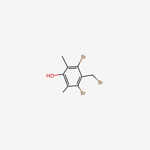 Cc1c(O)c(C)c(Br)c(CBr)c1Br